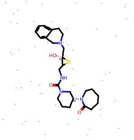 O=C(NCC1S[C@]1(O)CN1CCc2ccccc2C1)N1CCC[C@@H](N2CCCCCC2=O)C1